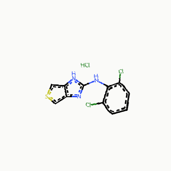 Cl.Clc1cccc(Cl)c1Nc1nc2cscc2[nH]1